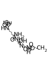 C=CCOC(=O)NCC1(O)CN(C[C@H](O)CNC(=O)[C@@H](N)CCCCNC(=O)OC(C)(C)C)C1